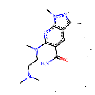 Cc1nn(C)c2nc(N(C)CCN(C)C)c(C(N)=O)cc12